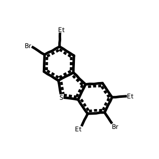 CCc1cc2c(cc1Br)sc1c(CC)c(Br)c(CC)cc12